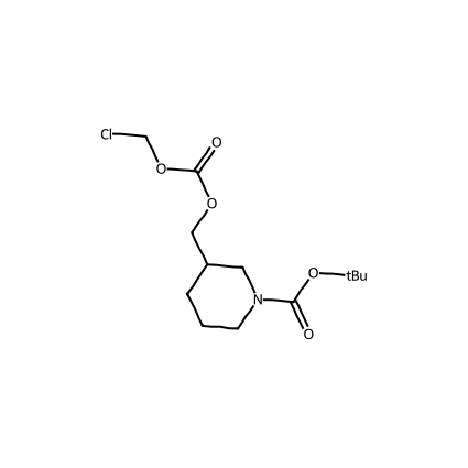 CC(C)(C)OC(=O)N1CCCC(COC(=O)OCCl)C1